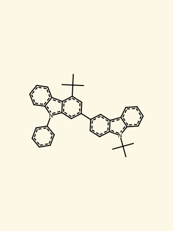 CC(C)(C)c1cc(-c2ccc3c(c2)c2ccccc2n3C(C)(C)C)cc2c1c1ccccc1n2-c1ccccc1